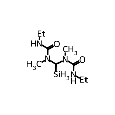 CCNC(=O)N(C)C([SiH3])N(C)C(=O)NCC